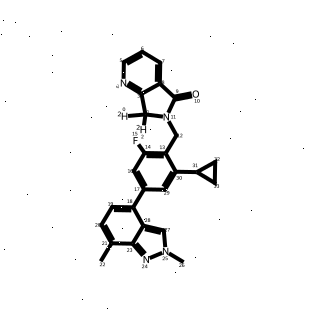 [2H]C1([2H])c2ncccc2C(=O)N1Cc1c(F)cc(-c2ccc(C)c3nn(C)cc23)cc1C1CC1